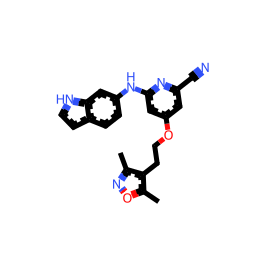 Cc1noc(C)c1CCOc1cc(C#N)nc(Nc2ccc3cc[nH]c3c2)c1